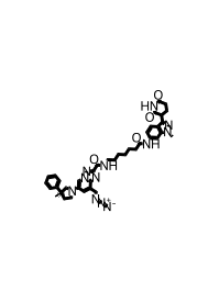 Cn1nc(C2CCC(=O)NC2=O)c2ccc(NC(=O)CCCCCCNC(=O)c3nc4c(CN=[N+]=[N-])cc(N5CC[C@](C)(c6ccccc6)C5)cn4n3)cc21